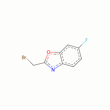 Fc1ccc2nc(CBr)oc2c1